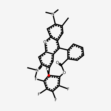 Cc1cc2c(-c3ccccc3C(=O)Oc3c(F)c(F)c(F)c(F)c3F)c3cc(C)c(=[N+](C)C)cc-3oc2cc1N(C)C